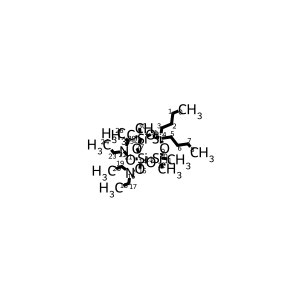 CCCC[Si]1(CCCC)O[Si](C)(C)O[Si](ON(CC)CC)(ON(CC)CC)O[Si](C)(C)O1